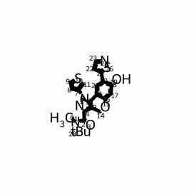 CN(C(=O)c1nn(-c2ccsc2)c2c1COc1cc(O)c(-c3ccns3)cc1-2)C(C)(C)C